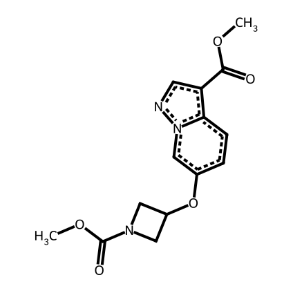 COC(=O)c1cnn2cc(OC3CN(C(=O)OC)C3)ccc12